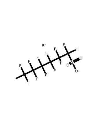 CC(F)(F)C(F)(F)C(F)(F)C(F)(F)C(F)(F)C(F)(F)S(=O)(=O)[O-].[K+]